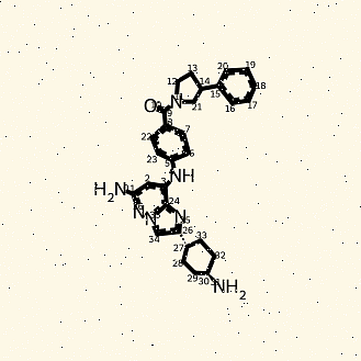 Nc1cc(Nc2ccc(C(=O)N3CCC(c4ccccc4)C3)cc2)c2nc([C@H]3CC[C@H](N)CC3)cn2n1